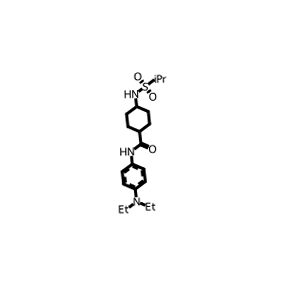 CCN(CC)c1ccc(NC(=O)C2CCC(NS(=O)(=O)C(C)C)CC2)cc1